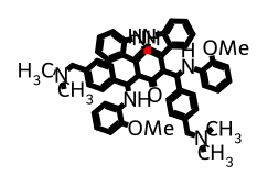 COc1ccccc1NC(c1ccc(CN(C)C)cc1)C(C(=O)C(c1c[nH]c2ccccc12)C(Nc1ccccc1OC)c1ccc(CN(C)C)cc1)c1c[nH]c2ccccc12